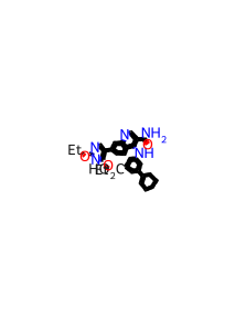 CCOc1ncc(-c2ccc3c(Nc4cc(C(=O)O)cc(C5=CCCCC5)c4)c(C(N)=O)cnc3c2)c(OCC)n1